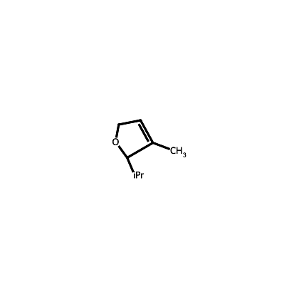 CC1=CCOC1C(C)C